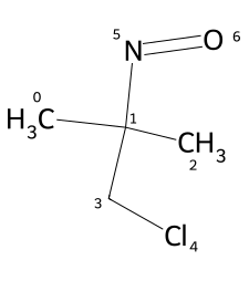 CC(C)(CCl)N=O